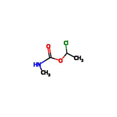 CNC(=O)OC(C)Cl